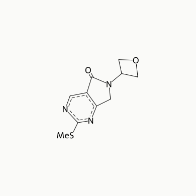 CSc1ncc2c(n1)CN(C1COC1)C2=O